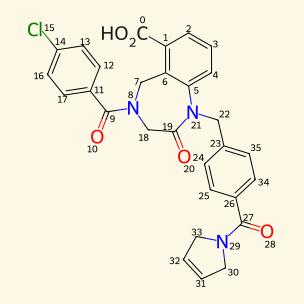 O=C(O)c1cccc2c1CN(C(=O)c1ccc(Cl)cc1)CC(=O)N2Cc1ccc(C(=O)N2CC=CC2)cc1